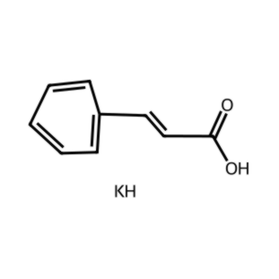 O=C(O)C=Cc1ccccc1.[KH]